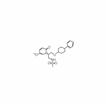 COc1ccc(=O)n(C(CNS(C)(=O)=O)COC2CCC(c3ccccc3)CC2)c1